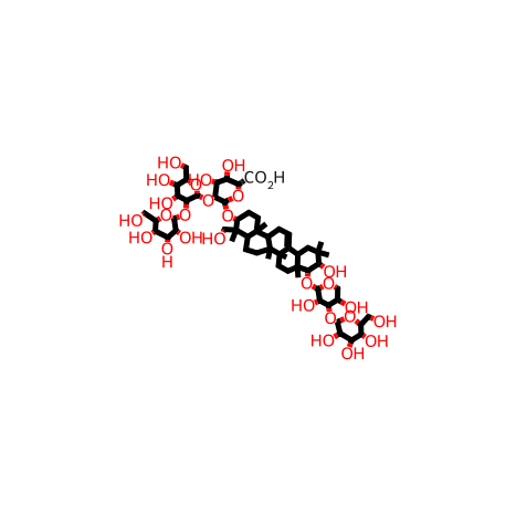 CC1(C)CC2C3=CCC4C5(C)CCC(OC6OC(C(=O)O)C(O)C(O)C6OC6OC(CO)C(O)C(O)C6OC6OC(CO)C(O)C(O)C6O)C(C)(CO)C5CCC4(C)C3(C)CCC2(C)C(OC2OCC(O)C(OC3OC(CO)C(O)C(O)C3O)C2O)C1O